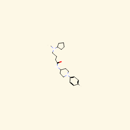 CCCN(CCCC(=O)NC1CCN(c2ccc(C(C)=O)cc2)CC1)C1CCCC1